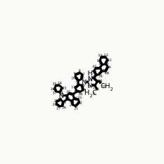 C=CC1=NC(n2c3ccccc3c3cc(-c4cc5c(c6ccccc46)c4ccccc4n5-c4ccccc4)ccc32)NC(c2ccc3c(ccc4ccccc43)c2)=C1C=C